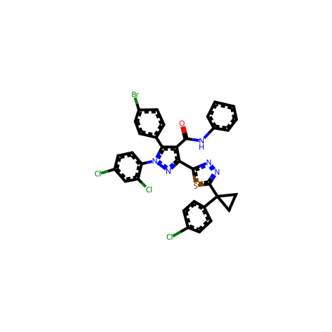 O=C(Nc1ccccc1)c1c(-c2nnc(C3(c4ccc(Cl)cc4)CC3)s2)nn(-c2ccc(Cl)cc2Cl)c1-c1ccc(Br)cc1